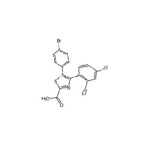 O=C(O)c1nc(-c2ccc(Cl)cc2Cl)c(-c2ccc(Br)cc2)s1